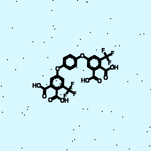 O=C(O)c1cc(Oc2ccc(Oc3cc(C(=O)O)c(C(=O)O)c(C(F)(F)F)c3)cc2)cc(C(F)(F)F)c1C(=O)O